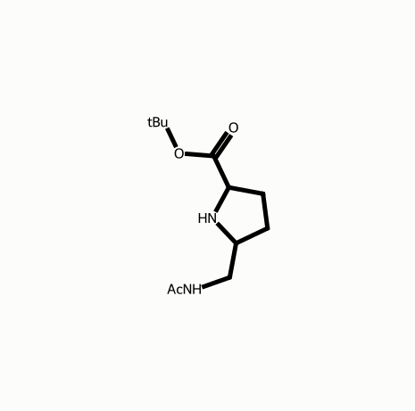 CC(=O)NCC1CCC(C(=O)OC(C)(C)C)N1